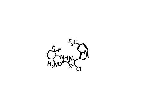 N[C@H]1CCCC(F)(F)[C@@H]1NC(=O)c1nc(-c2cnn3ccc(C(F)(F)F)cc23)c(Cl)s1